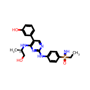 CCS(=N)(=O)c1ccc(Nc2ncc(-c3cccc(O)c3)c(N[C@H](C)CO)n2)cc1